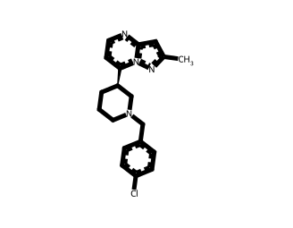 Cc1cc2nccc([C@@H]3CCCN(Cc4ccc(Cl)cc4)C3)n2n1